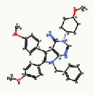 COc1ccc(-c2c(-c3ccc(OC)cc3)n(Cc3ccccc3)c3ncn([C@H]4CC[C@H](OC)CC4)c(=N)c23)cc1